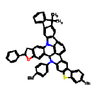 CC(C)(C)c1ccc(N2B3c4cc5c(cc4-n4c6cc7c(cc6c6ccc(c3c64)-c3cc4c(cc32)sc2cc(C(C)(C)C)ccc24)C(C)(C)c2ccccc2-7)CC(c2ccccc2)O5)cc1